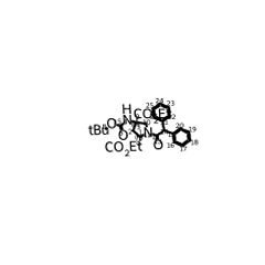 CCOC(=O)[C@H]1C[C@](NC(=O)OC(C)(C)C)(C(=O)OCC)CN1C(=O)C(c1ccccc1)c1ccccc1